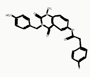 Cn1c(=O)n(Cc2ccc(C(=O)O)cc2)c(=O)c2cc(NC(=O)Cc3ccc(F)cc3)ccc21